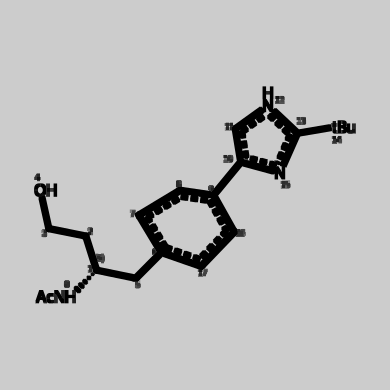 CC(=O)N[C@H](CCO)Cc1ccc(-c2c[nH]c(C(C)(C)C)n2)cc1